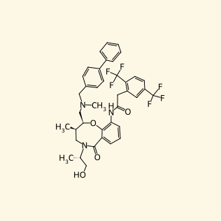 C[C@@H]1CN([C@@H](C)CO)C(=O)c2cccc(NC(=O)Cc3cc(C(F)(F)F)ccc3C(F)(F)F)c2O[C@@H]1CN(C)Cc1ccc(-c2ccccc2)cc1